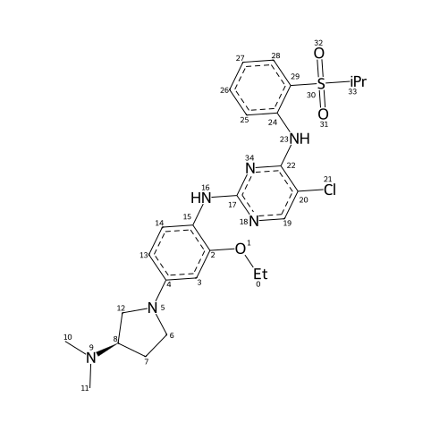 CCOc1cc(N2CC[C@@H](N(C)C)C2)ccc1Nc1ncc(Cl)c(Nc2ccccc2S(=O)(=O)C(C)C)n1